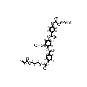 C=CC(=O)OCCCCOC(=O)Oc1ccc(C(=O)Oc2ccc(OC(=O)c3ccc(OC(=O)OCCCCC)cc3)cc2C=O)cc1